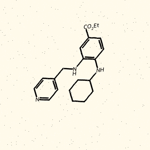 CCOC(=O)c1ccc(NC2CCCCC2)c(NCc2ccncc2)c1